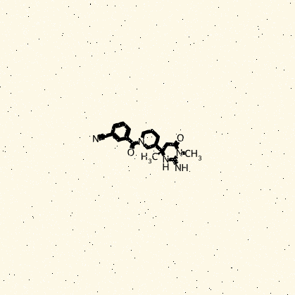 CN1C(=N)N[C@](C)(C2CCCN(C(=O)c3cccc(C#N)c3)C2)CC1=O